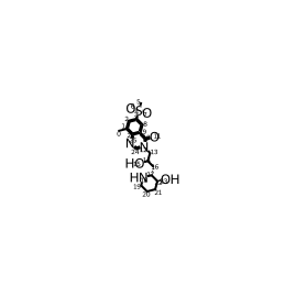 Cc1cc(S(C)(=O)=O)cc2c(=O)n(CC(O)C[C@H]3NCCC[C@@H]3O)cnc12